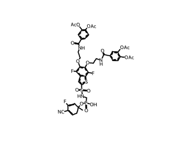 CC(=O)Oc1ccc(C(=O)NCCOc2c(OCCNC(=O)c3ccc(OC(C)=O)c(OC(C)=O)c3)c(F)c3sc(S(=O)(=O)NCP(=O)(O)OC4(C)C=C(F)C(C#N)=CC4)cc3c2F)cc1OC(C)=O